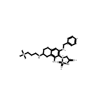 C[Si](C)(C)CCCNC1CCc2cc(OCc3ccccc3)c(N3CC(=O)NS3(=O)=O)c(F)c2C1